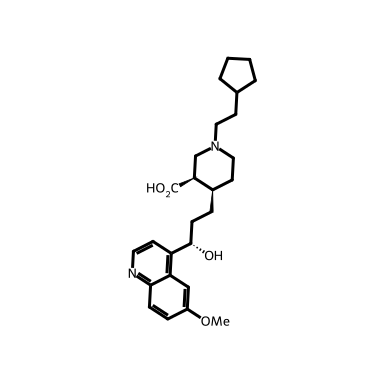 COc1ccc2nccc([C@@H](O)CC[C@@H]3CCN(CCC4CCCC4)C[C@@H]3C(=O)O)c2c1